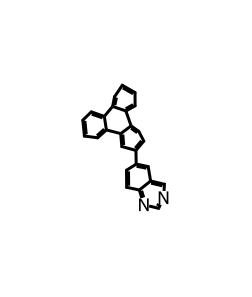 c1ccc2c(c1)c1ccccc1c1cc(-c3ccc4ncncc4c3)ccc21